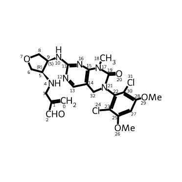 C=C(C=O)CN[C@H]1COC[C@H]1Nc1ncc2c(n1)N(C)C(=O)N(c1c(Cl)c(OC)cc(OC)c1Cl)C2